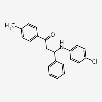 Cc1ccc(C(=O)CC(Nc2ccc(Cl)cc2)c2ccccc2)cc1